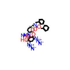 [N-]=[N+]=NC1CC[C@@H](CN(Cc2ccccc2)C(=O)OCc2ccccc2)O[C@@H]1O[C@@H]1C(N=[N+]=[N-])CC(N=[N+]=[N-])[C@H](O)[C@H]1O